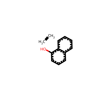 C=C.Oc1cccc2ccccc12